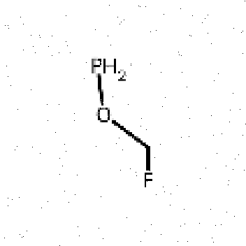 FCOP